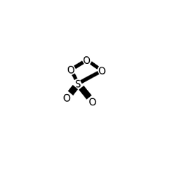 O=S1(=O)OOO1